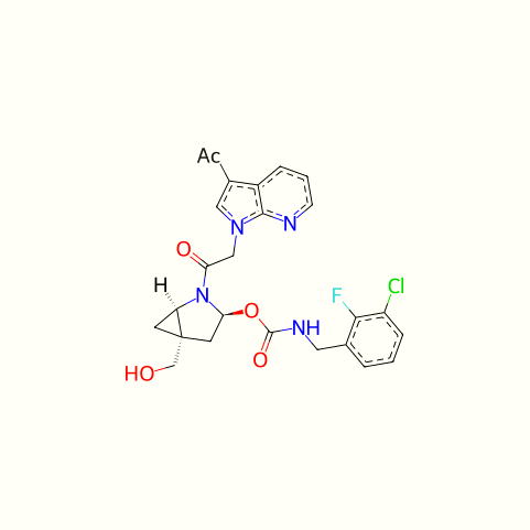 CC(=O)c1cn(CC(=O)N2[C@@H](OC(=O)NCc3cccc(Cl)c3F)C[C@@]3(CO)C[C@@H]23)c2ncccc12